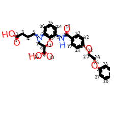 O=C(O)CCCN1CC(C(=O)O)Oc2c(NC(=O)c3ccc(OCCOc4ccccc4)cc3)cccc21